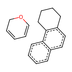 C1=CCOC=C1.c1ccc2c3c(ccc2c1)CCCC3